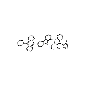 C=Cc1c(/C=C\C)c(-c2cccc3c2sc2ccc(-c4c5ccccc5c(-c5ccccc5)c5ccccc45)cc23)c2ccccc2c1-c1cocc1C